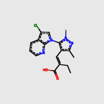 CC/C(=C\c1c(C)nn(C)c1-n1cc(Cl)c2cccnc21)C(=O)O